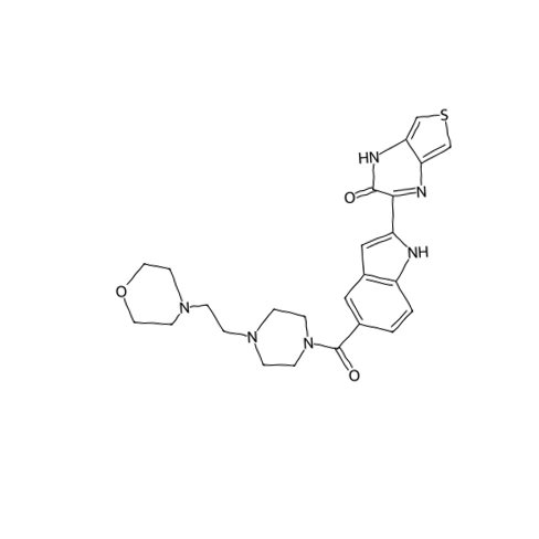 O=C(c1ccc2[nH]c(-c3nc4cscc4[nH]c3=O)cc2c1)N1CCN(CCN2CCOCC2)CC1